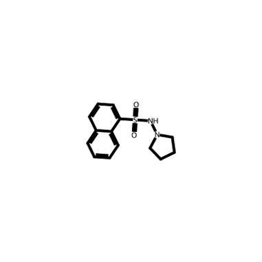 O=S(=O)(NN1CCCC1)c1cccc2ccccc12